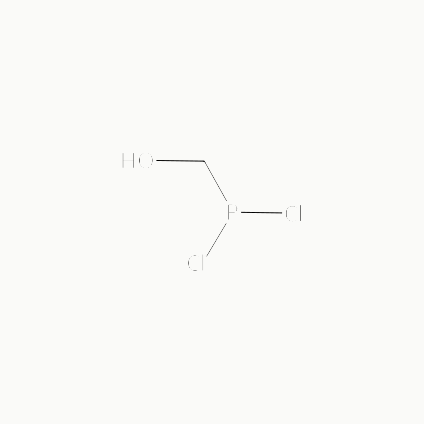 OCP(Cl)Cl